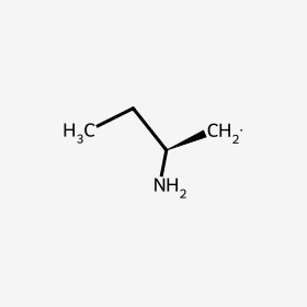 [CH2][C@@H](N)CC